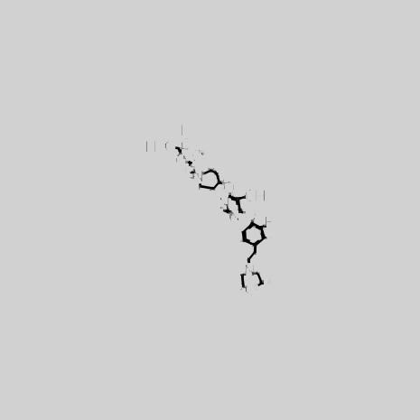 Cc1c(Oc2ccc(CCN3CCOCC3)cc2F)ncnc1OC1CCN(OC(=O)OC(C)C)CC1